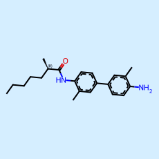 CCCCC[C@@H](C)C(=O)Nc1ccc(-c2ccc(N)c(C)c2)cc1C